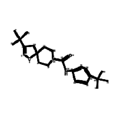 CC(C)(C)C1=NOC2(CCN(C(=O)Nc3ccc(C(C)(C)C)cc3)CC2)C1